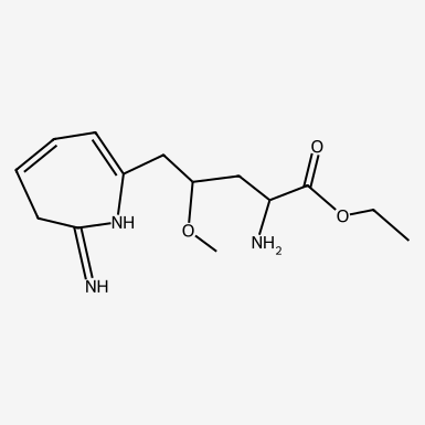 CCOC(=O)C(N)CC(CC1=CC=CCC(=N)N1)OC